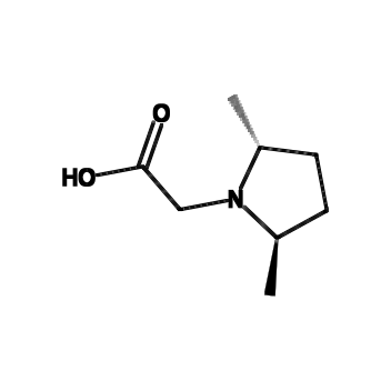 C[C@@H]1CC[C@@H](C)N1CC(=O)O